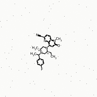 CC[C@H]1CN(C(C)c2ccc(F)cc2)[C@H](C)CN1c1cc(=O)n(C)c2ccc(C#N)nc12